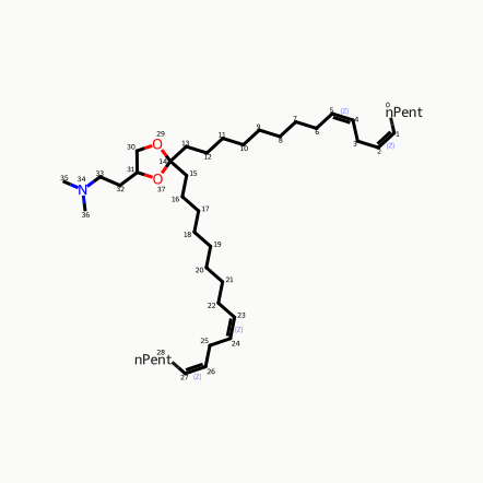 CCCCC/C=C\C/C=C\CCCCCCCCC1(CCCCCCCC/C=C\C/C=C\CCCCC)OCC(CCN(C)C)O1